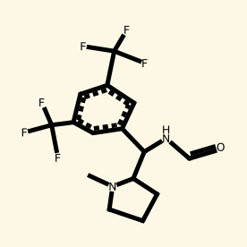 CN1CCCC1C(NC=O)c1cc(C(F)(F)F)cc(C(F)(F)F)c1